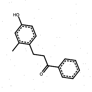 Cc1cc(O)ccc1CCC(=O)c1ccccc1